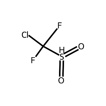 O=[SH](=O)C(F)(F)Cl